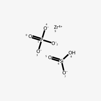 O=P([O-])([O-])[O-].O=[Si]([O-])O.[Zr+4]